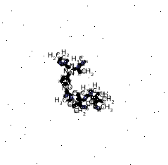 C=C/C=C\C(=C/C)c1nc(/C(C=C)=C/C=C\C)nc(-c2ccc3nc(C(=C/C)/C=C(\C=C)n4c(C=C)c(/C=C\C)c(/C=C(C)/C(=C/C)c5oc(/C=C\C)c(C=C)c5C=C)c4C=C)oc3c2)n1